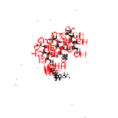 O=C([O-])[C@H](O)[C@@H](O)[C@H](O)[C@H](O)CO.O=C([O-])[C@H](O)[C@@H](O)[C@H](O)[C@H](O)CO.O=C([O-])[C@H](O)[C@@H](O)[C@H](O)[C@H](O)CO.[Fe+3].[Fe+3].[OH-].[OH-].[OH-]